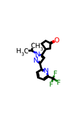 CC(C)n1nc(-c2cccc(C(F)(F)F)n2)cc1C1CCC(=O)C1